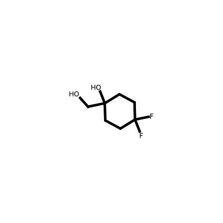 O[CH]C1(O)CCC(F)(F)CC1